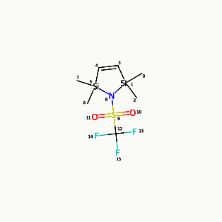 C[Si]1(C)C=C[Si](C)(C)N1S(=O)(=O)C(F)(F)F